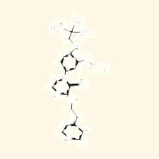 COc1cc(-n2ccnc(SCCc3ccncc3)c2=O)ccc1OCC(C)(C)O